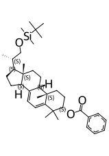 C[C@H](CO[Si](C)(C)C(C)(C)C)[C@@H]1CC[C@@H]2C3=CC=C4C(C)(C)[C@@H](OC(=O)c5ccccc5)CC[C@@]4(C)[C@H]3CC[C@]21C